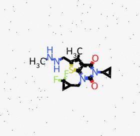 CNNCc1sc2c(c1C)c(=O)n(C1CC1)c(=O)n2CC1CC1(F)F